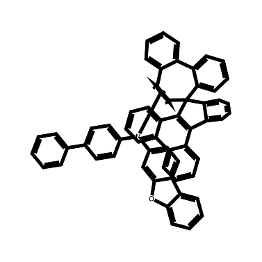 c1ccc(-c2ccc(N(c3ccc4c(c3)C3(c5ccccc5-c5ccccc5-4)c4ccccc4-c4c3c3ccccc3c3ccccc43)c3ccc4c(c3)oc3ccccc34)cc2)cc1